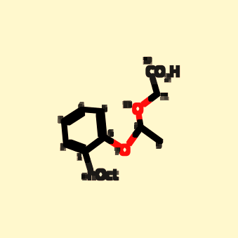 CCCCCCCCc1ccccc1OC(C)OCC(=O)O